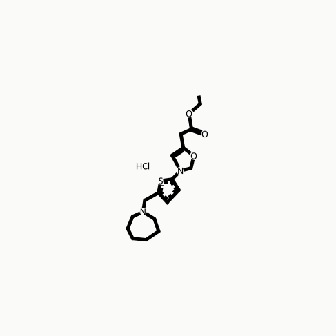 CCOC(=O)CC1=CN(c2ccc(CN3CCCCCC3)s2)CO1.Cl